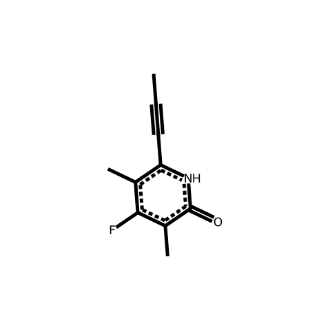 CC#Cc1[nH]c(=O)c(C)c(F)c1C